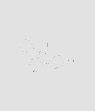 CC1(C)c2ccccc2-c2cc[c]c(-c3ccc(Br)cc3)c21